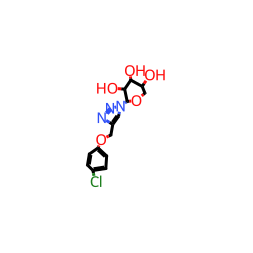 OC1COC(n2cc(COc3ccc(Cl)cc3)nn2)C(O)C1O